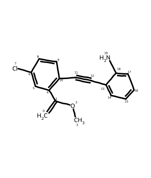 C=C(OC)c1cc(Cl)ccc1C#Cc1ccccc1N